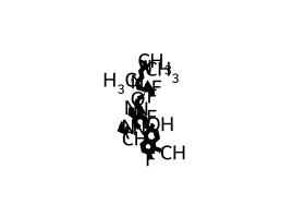 C#Cc1c(F)ccc2c1C=CC(O)(c1nc(N3CC[C@@H]3C)c3cnc(OC[C@]4(CN(C)CCN(C)C)CC4(F)F)nc3c1F)C2